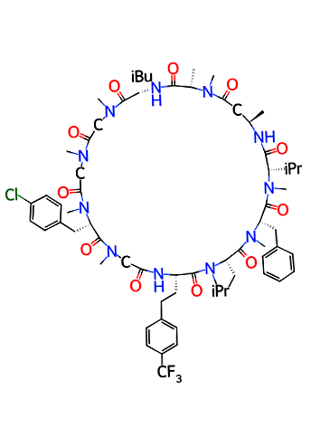 CC[C@H](C)[C@@H]1NC(=O)[C@H](C)N(C)C(=O)C[C@@H](C)NC(=O)[C@H](C(C)C)N(C)C(=O)[C@H](Cc2ccccc2)N(C)C(=O)[C@H](CC(C)C)N(C)C(=O)[C@H](CCc2ccc(C(F)(F)F)cc2)NC(=O)CN(C)C(=O)[C@H](Cc2ccc(Cl)cc2)N(C)C(=O)CN(C)C(=O)CN(C)C1=O